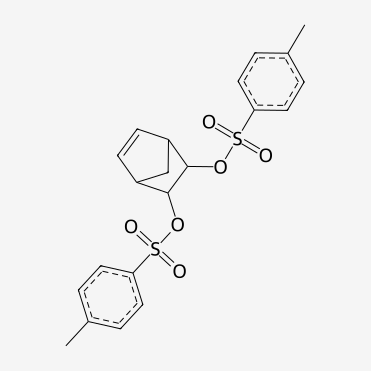 Cc1ccc(S(=O)(=O)OC2C3C=CC(C3)C2OS(=O)(=O)c2ccc(C)cc2)cc1